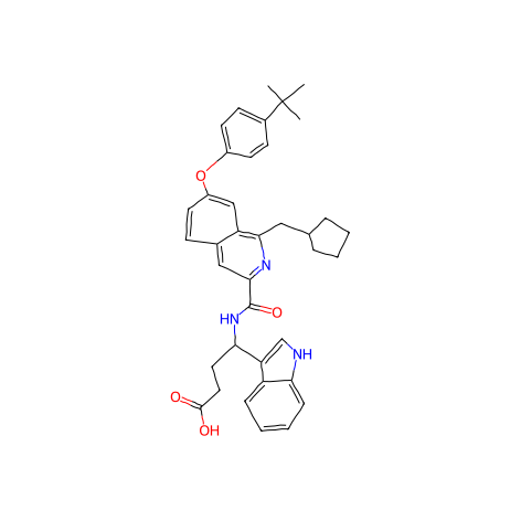 CC(C)(C)c1ccc(Oc2ccc3cc(C(=O)NC(CCC(=O)O)c4c[nH]c5ccccc45)nc(CC4CCCC4)c3c2)cc1